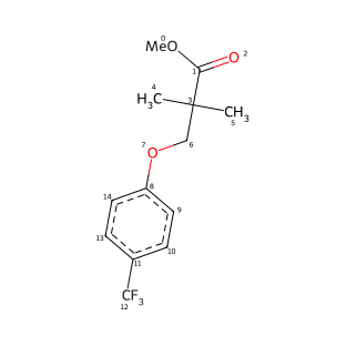 COC(=O)C(C)(C)COc1ccc(C(F)(F)F)cc1